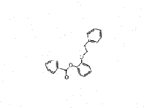 O=C(Oc1ccccc1OCCc1ccccc1)c1ccccc1